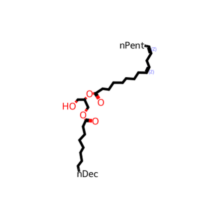 CCCCC/C=C\C/C=C\CCCCCCCC(=O)OC(CO)COC(=O)CCCCCCCCCCCCCCCCC